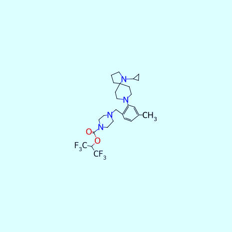 Cc1ccc(CN2CCN(C(=O)OC(C(F)(F)F)C(F)(F)F)CC2)c(N2CCC3(CCCN3C3CC3)CC2)c1